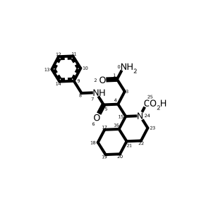 NC(=O)CC(C(=O)NCc1ccccc1)C1C2CCCCC2CCN1C(=O)O